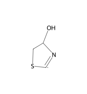 OC1CS[C]=N1